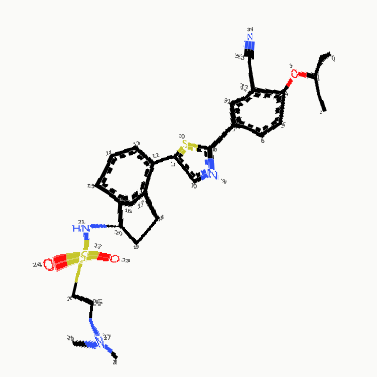 CC(C)Oc1ccc(-c2ncc(-c3cccc4c3CC[C@H]4NS(=O)(=O)CCN(C)C)s2)cc1C#N